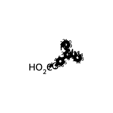 O=C(O)COc1ccc(-c2cc(-c3ccccn3)nc(-c3ccccn3)c2)cc1